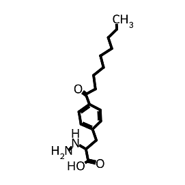 CCCCCCCCC(=O)c1ccc(CC(NN)C(=O)O)cc1